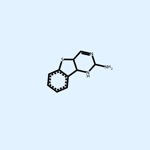 NC1N=CC2Sc3ccccc3C2N1